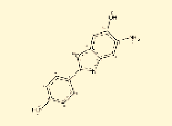 Nc1cc2nc(-c3ccc(P)cc3)oc2cc1O